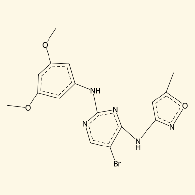 COc1cc(Nc2ncc(Br)c(Nc3cc(C)on3)n2)cc(OC)c1